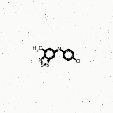 Cc1cc(=Nc2ccc(Cl)cc2)cc2ssnc1-2